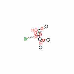 O=c1c(OCCCCCBr)c(-c2ccc(OCc3ccccc3)c(OCc3ccccc3)c2)oc2cc(OCc3ccccc3)cc(O)c12